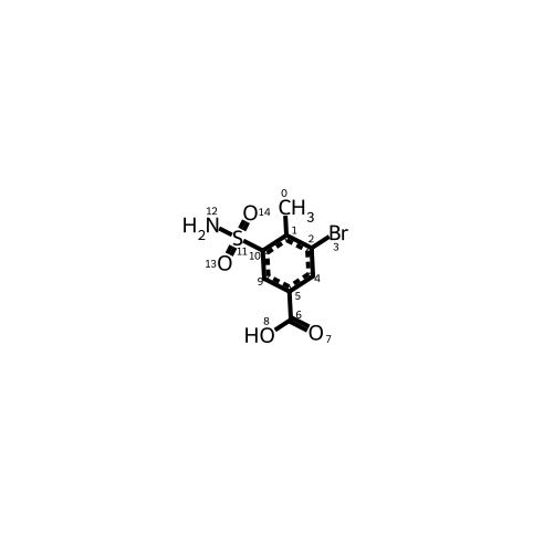 Cc1c(Br)cc(C(=O)O)cc1S(N)(=O)=O